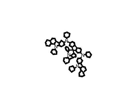 c1ccc(N(c2ccc3c(c2)C2(c4cc(N(c5ccccc5)c5ccc6c(c5)c5ccc7ccccc7c5n6-c5ccccc5)ccc4-3)c3ccccc3-n3c4ccccc4c4cccc2c43)c2ccc3c(c2)c2ccc4ccccc4c2n3-c2ccccc2)cc1